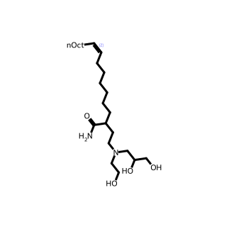 CCCCCCCC/C=C\CCCCCCC(CCN(CCO)CC(O)CO)C(N)=O